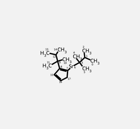 CC(C)[C](C)(C)[Sr][C]1=C(C(C)(C)C(C)C)C=CC1